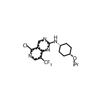 CC(C)O[C@H]1CC[C@H](Nc2ncc3c(Cl)ncc(C(F)(F)F)c3n2)CC1